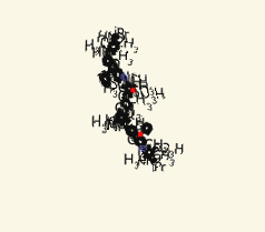 Cc1cc(C)c(Nc2ccc3c(-c4ccccc4S(=O)(=O)O)c4cc/c(=N\c5c(C)c(OC6CCC(Oc7c(C)cc(C)c(Nc8ccc9c(-c%10ccccc%10S(=O)(=O)O)c%10cc/c(=N\c%11c(C)c(NC(=O)C(C)C)c(C)c(S(=O)(=O)O)c%11C)cc-%10oc9c8)c7C)CC6)c(C)c(S(=O)(=O)O)c5C)cc-4oc3c2)c(C)c1NC(=O)C(C)C